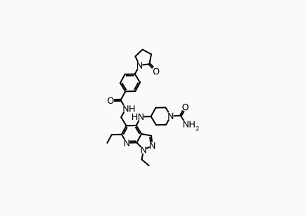 CCc1nc2c(cnn2CC)c(NC2CCN(C(N)=O)CC2)c1CNC(=O)c1ccc(N2CCCC2=O)cc1